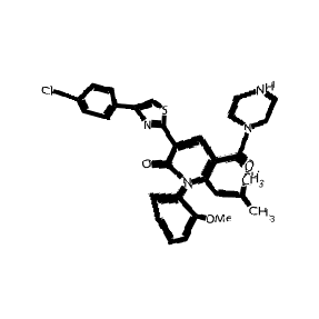 COc1ccccc1-n1c(C=C(C)C)c(C(=O)N2CCNCC2)cc(-c2nc(-c3ccc(Cl)cc3)cs2)c1=O